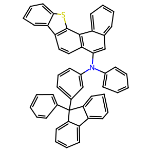 c1ccc(N(c2cccc(C3(c4ccccc4)c4ccccc4-c4ccccc43)c2)c2cc3ccccc3c3c2ccc2c4ccccc4sc23)cc1